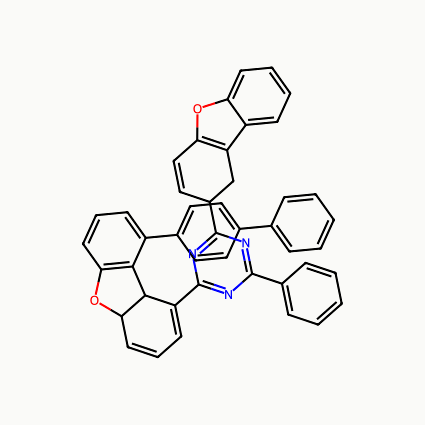 C1=CC2Oc3cccc(-c4ccc(-c5ccccc5)cc4)c3C2C(c2nc(-c3ccccc3)nc(C3C=Cc4oc5ccccc5c4C3)n2)=C1